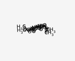 CCCCC(CC)COC(=O)c1ccc2nc(-c3ccc(-c4nc5ccc(C(=O)OCC(CC)CCCC)cc5c(=O)o4)s3)oc(=O)c2c1